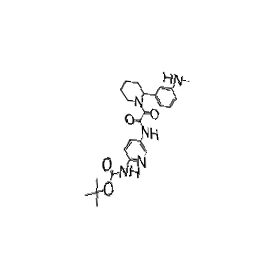 CNc1cccc(C2CCCCN2C(=O)C(=O)Nc2ccc(NC(=O)OC(C)(C)C)nc2)c1